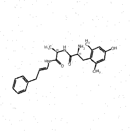 Cc1cc(O)cc(C)c1C[C@H](N)C(=O)N[C@H](C)C(=O)NC=CCc1ccccc1